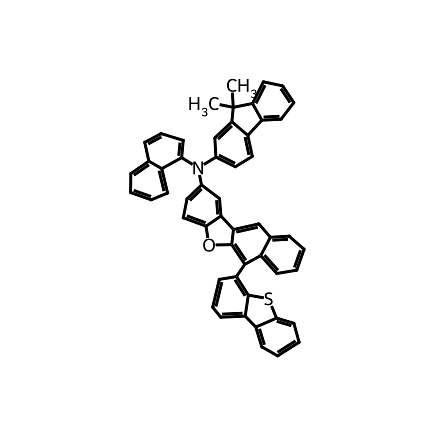 CC1(C)c2ccccc2-c2ccc(N(c3ccc4oc5c(-c6cccc7c6sc6ccccc67)c6ccccc6cc5c4c3)c3cccc4ccccc34)cc21